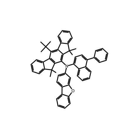 CC(C)(C)c1c2c(c(N(c3ccc4c(c3)oc3ccccc34)c3ccc(-c4ccccc4)c4ccccc34)c3c1-c1ccccc1C3(C)C)C(C)(C)c1ccccc1-2